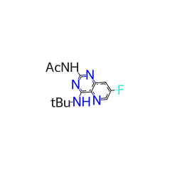 CC(=O)Nc1nc(NC(C)(C)C)c2ncc(F)cc2n1